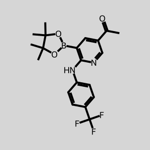 CC(=O)c1cnc(Nc2ccc(C(F)(F)F)cc2)c(B2OC(C)(C)C(C)(C)O2)c1